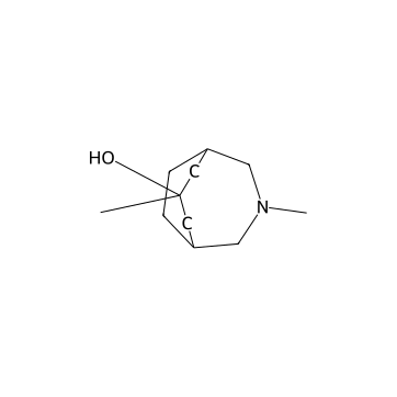 CN1CC2CCC(C1)CC(C)(O)C2